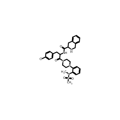 CN(c1ccccc1N1CCN(C(=O)C(Cc2ccc(Cl)cc2)NC(=O)C2Cc3ccccc3CN2)CC1)S(C)(=O)=O